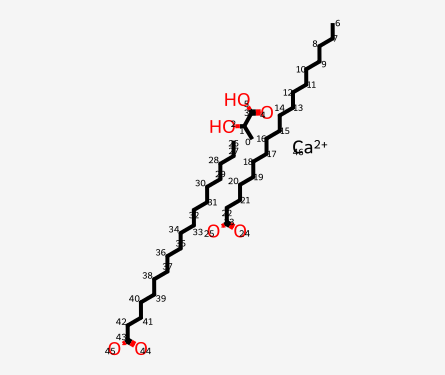 CC(O)C(=O)O.CCCCCCCCCCCCCCCCCC(=O)[O-].CCCCCCCCCCCCCCCCCC(=O)[O-].[Ca+2]